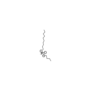 CCCCCCCCCCOP(C)(=O)OCCCC